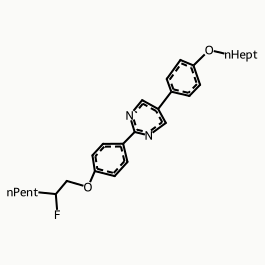 CCCCCCCOc1ccc(-c2cnc(-c3ccc(OCC(F)CCCCC)cc3)nc2)cc1